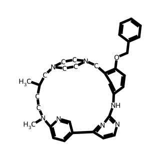 CC1CCN(C)c2ccc(cn2)-c2ccnc(n2)Nc2ccc(OCc3ccccc3)c(c2)CN2CCN(CC2)C1